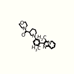 Cc1ccc(N2CCCC(C(=O)N3CCOCC3)C2)cc1-c1nc2ccccn2c1C